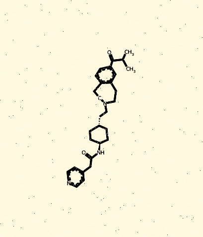 CC(C)C(=O)c1ccc2c(c1)CCN(CC[C@H]1CC[C@H](NC(=O)Cc3ccncc3)CC1)CC2